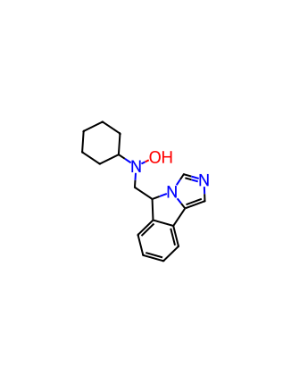 ON(CC1c2ccccc2-c2cncn21)C1CCCCC1